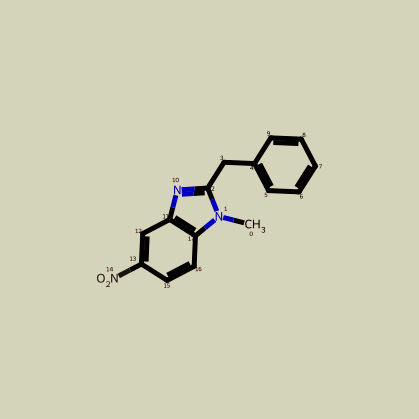 Cn1c(Cc2ccccc2)nc2cc([N+](=O)[O-])ccc21